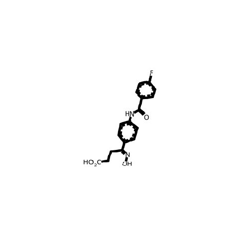 O=C(O)CCC(=NO)c1ccc(NC(=O)c2ccc(F)cc2)cc1